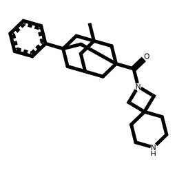 CC12CC3CC(C(=O)N4CC5(CCNCC5)C4)(C1)CC(c1ccccc1)(C3)C2